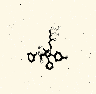 CC(C)c1c(C(=O)NC2=CCCC=C2)c(-c2ccccc2)c(-c2ccc(F)cc2)n1CCC(=O)C[C@@H](O)CC(=O)O